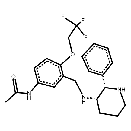 CC(=O)Nc1ccc(OCC(F)(F)F)c(CN[C@H]2CCCN[C@H]2c2ccccc2)c1